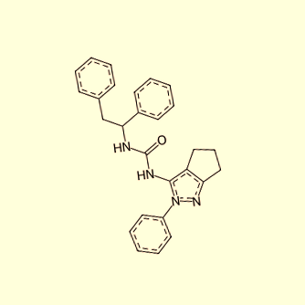 O=C(Nc1c2c(nn1-c1ccccc1)CCC2)NC(Cc1ccccc1)c1ccccc1